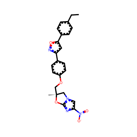 CCc1ccc(-c2cc(-c3ccc(OC[C@@]4(C)Cn5cc([N+](=O)[O-])nc5O4)cc3)no2)cc1